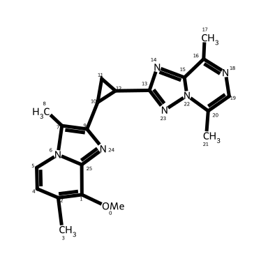 COc1c(C)ccn2c(C)c(C3CC3c3nc4c(C)ncc(C)n4n3)nc12